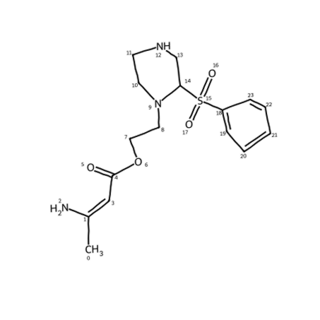 CC(N)=CC(=O)OCCN1CCNCC1S(=O)(=O)c1ccccc1